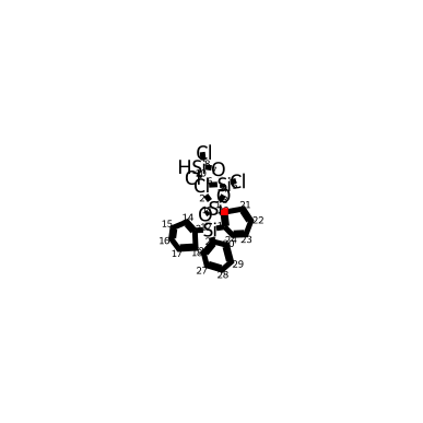 C[Si](C)(O[Si](Cl)(Cl)O[SiH](Cl)Cl)O[Si](c1ccccc1)(c1ccccc1)c1ccccc1